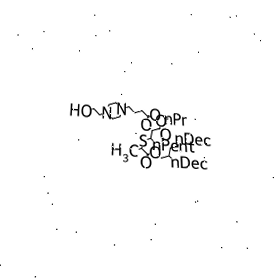 CCCCCCCCCCCCC(CCCCCCCCCC)COC(=O)C(C)SC(CCCCC)C(OC(=O)CCCN1CCN(CCO)CC1)C(=O)OCCC